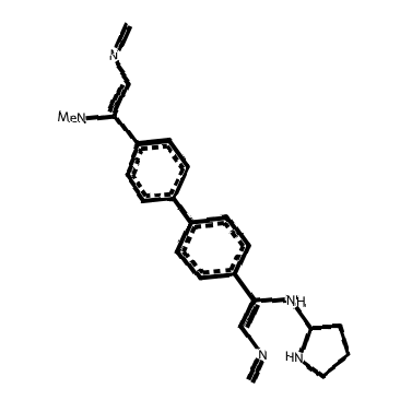 C=N/C=C(\NC)c1ccc(-c2ccc(/C(=C/N=C)NC3CCCN3)cc2)cc1